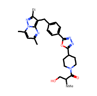 CCc1nn2c(C)cc(C)nc2c1Cc1ccc(-c2nnc(C3CCN(C(=O)C(CO)NC)CC3)o2)cc1